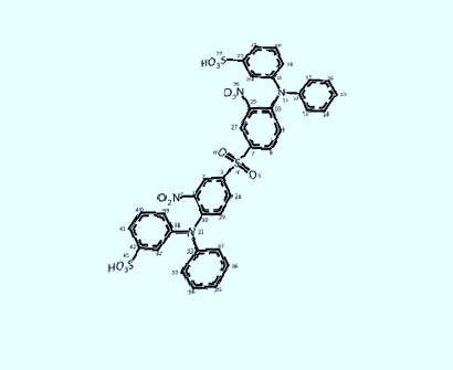 O=[N+]([O-])c1cc(S(=O)(=O)c2ccc(N(c3ccccc3)c3cccc(S(=O)(=O)O)c3)c([N+](=O)[O-])c2)ccc1N(c1ccccc1)c1cccc(S(=O)(=O)O)c1